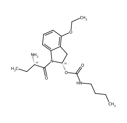 CCCCNC(=O)O[C@H]1Cc2c(OCC)cccc2N1C(=O)[C@@H](N)CC